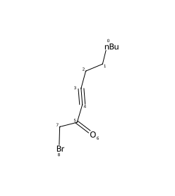 CCCCCCC#CC(=O)CBr